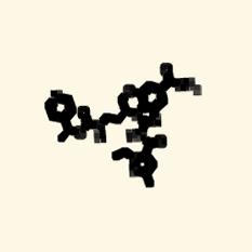 CCn1nc(C)cc1C(=O)Nc1nc2cc(C(N)=O)cc3c2n1[C@@H](CCNC(=O)O[C@@H](C)c1ccncc1)CO3